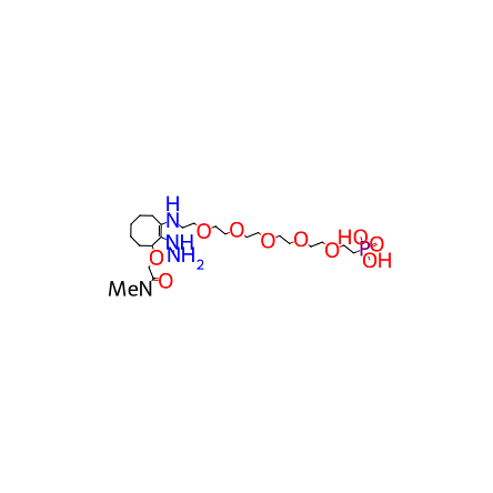 CNC(=O)COC1CCCCC/C(NCCOCCOCCOCCOCCOCCP(=O)(O)O)=C\1NN